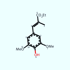 CCOC(=O)C(C)=Cc1cc(OC)c(O)c(OC)c1